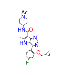 CC(=O)N1CCC(NC(=O)c2c(C)[nH]c3c(-c4ccc(F)cc4OCC4CC4)ncnc23)CC1